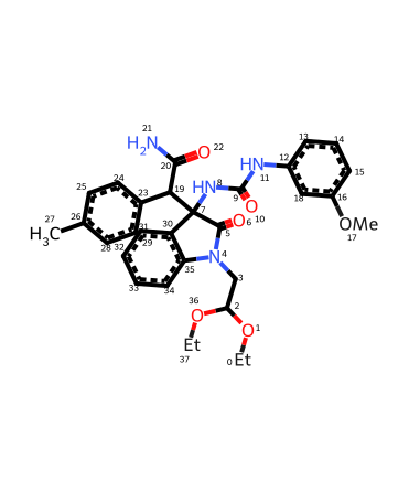 CCOC(CN1C(=O)C(NC(=O)Nc2cccc(OC)c2)(C(C(N)=O)c2ccc(C)cc2)c2ccccc21)OCC